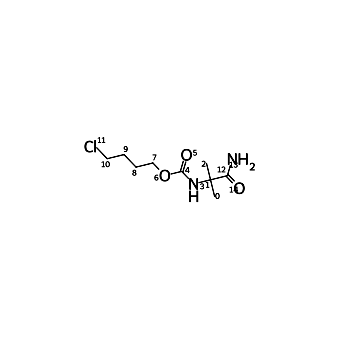 CC(C)(NC(=O)OCCCCCl)C(N)=O